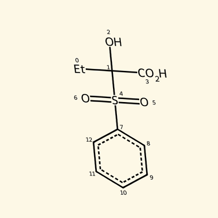 CCC(O)(C(=O)O)S(=O)(=O)c1ccccc1